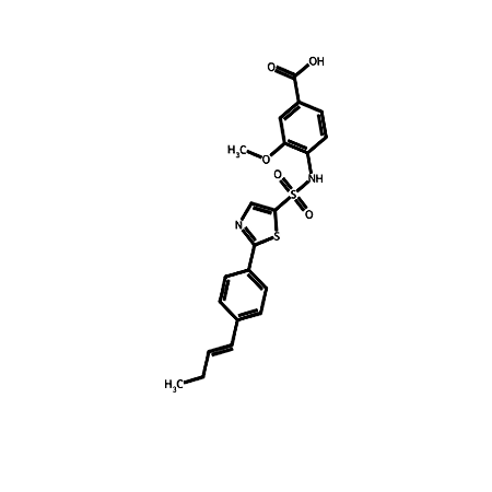 CC/C=C/c1ccc(-c2ncc(S(=O)(=O)Nc3ccc(C(=O)O)cc3OC)s2)cc1